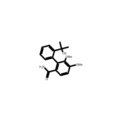 COc1ccc(C(N)=O)c(-c2ccccc2C(C)(C)C#N)c1OC